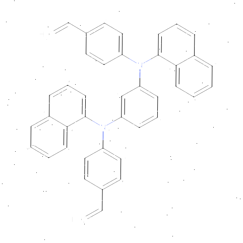 C=Cc1ccc(N(c2cccc(N(c3ccc(C=C)cc3)c3cccc4ccccc34)c2)c2cccc3ccccc23)cc1